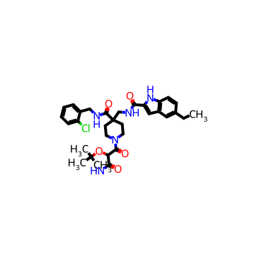 CCc1ccc2[nH]c(C(=O)NCC3(C(=O)NCc4ccccc4Cl)CCN(C(=O)C(OC(C)(C)C)C([NH])=O)CC3)cc2c1